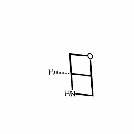 C1N[C@H]2COC12